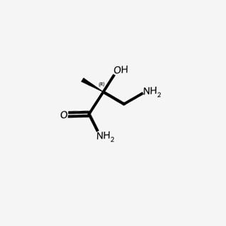 C[C@@](O)(CN)C(N)=O